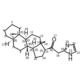 C[C@]12CCCC[C@@H]1CC[C@@H]1[C@@H]2CC[C@]2(C)[C@@H](C(=O)Cc3ncc[nH]3)CC[C@@H]12